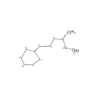 CC(CCCC1CCCCC1)OC=O